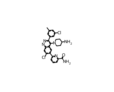 Cc1cc(Cl)cc(-c2nnc3cc(Cl)c(-c4cccc(C(N)=O)n4)cc3c2N2CCC(N)CC2)c1